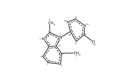 Cc1c[c]cc2nc(C)n(-c3cc(Cl)ncn3)c12